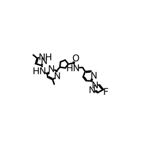 Cc1cc(Nc2cc(C)[nH]n2)nc(C2CCC(C(=O)NCc3ccc(-n4cc(F)cn4)nc3)C2)n1